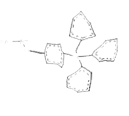 OBOc1ccc([Si](c2ccccc2)(c2ccccc2)c2ccccc2)cc1